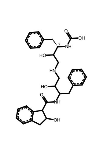 O=C(O)N[C@@H](Cc1ccccc1)C(O)CNCC(O)C(Cc1ccccc1)NC(=O)C1c2ccccc2CC1O